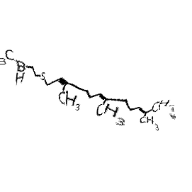 CBCCSC/C=C(\C)CC/C=C(\C)CCC=C(C)C